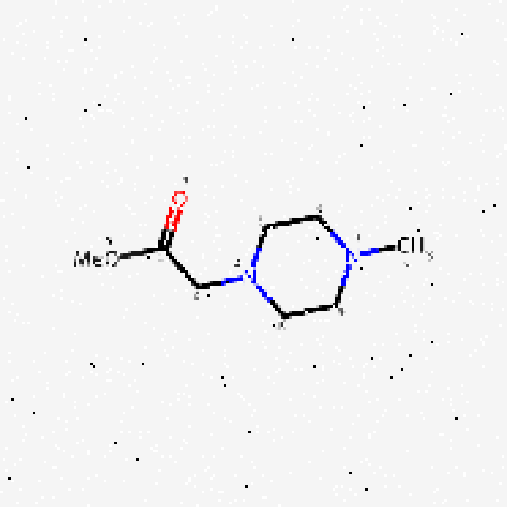 COC(=O)CN1CCN(C)CC1